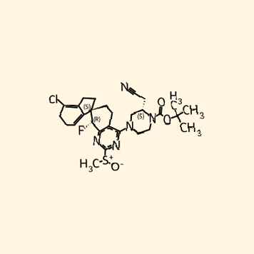 C[S+]([O-])c1nc2c(c(N3CCN(C(=O)OC(C)(C)C)[C@@H](CC#N)C3)n1)CC[C@@]1(CCC3=C(Cl)CCC=C31)[C@H]2F